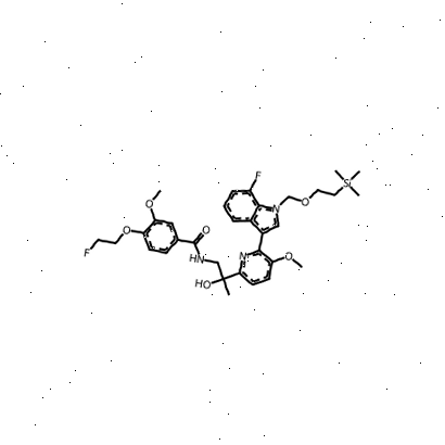 COc1cc(C(=O)NCC(C)(O)c2ccc(OC)c(-c3cn(COCC[Si](C)(C)C)c4c(F)cccc34)n2)ccc1OCCF